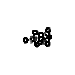 c1ccc(-c2nc(-c3ccccc3)nc(-c3cccc4oc5c(-n6c7ccccc7c7ccc8c9ccccc9n(-c9ccccc9)c8c76)cccc5c34)n2)cc1